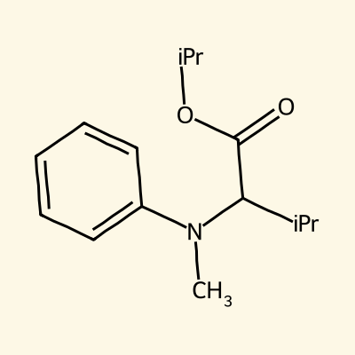 CC(C)OC(=O)C(C(C)C)N(C)c1ccccc1